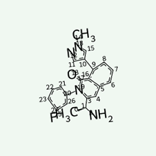 C[C@H](N)c1cc2cccc(-c3cnn(C)c3)c2c(=O)n1-c1cccc(F)c1